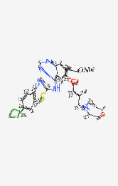 COc1cc2ncnc(Nc3nc4ccc(Cl)cc4s3)c2cc1OCCCN1CCOCC1